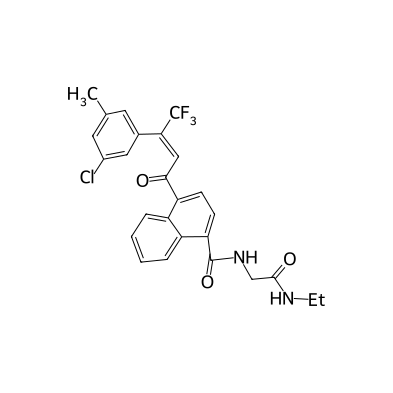 CCNC(=O)CNC(=O)c1ccc(C(=O)C=C(c2cc(C)cc(Cl)c2)C(F)(F)F)c2ccccc12